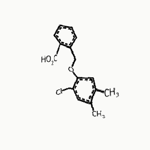 Cc1cc(Cl)c(OCc2ccccc2C(=O)O)cc1C